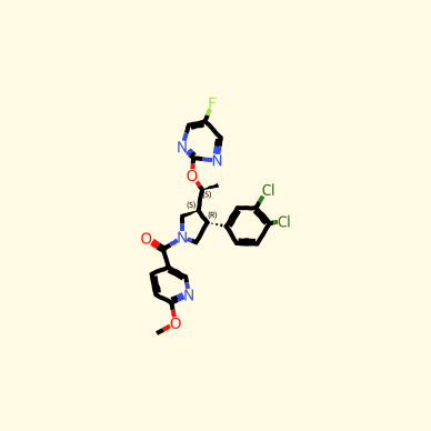 COc1ccc(C(=O)N2C[C@@H]([C@H](C)Oc3ncc(F)cn3)[C@H](c3ccc(Cl)c(Cl)c3)C2)cn1